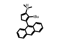 C[SiH](C)C1=CCC(c2c3ccccc3cc3ccccc23)=C1C(C)(C)C